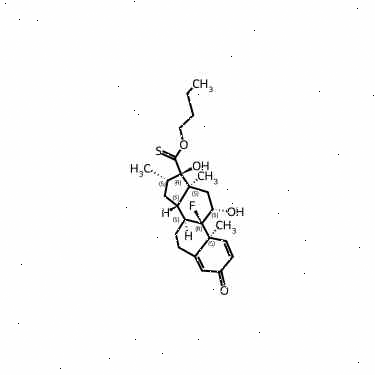 CCCCOC(=S)[C@@]1(O)[C@@H](C)C[C@H]2[C@@H]3CCC4=CC(=O)C=C[C@]4(C)[C@@]3(F)[C@@H](O)C[C@@]21C